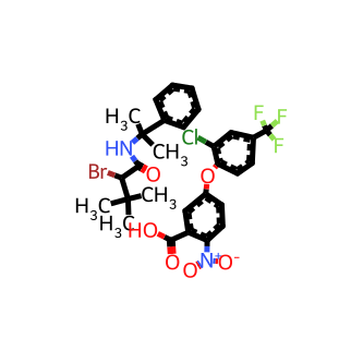 CC(C)(NC(=O)C(Br)C(C)(C)C)c1ccccc1.O=C(O)c1cc(Oc2ccc(C(F)(F)F)cc2Cl)ccc1[N+](=O)[O-]